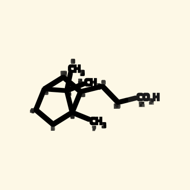 CC1(C)C2CCC1(C)C(CCC(=O)O)C2